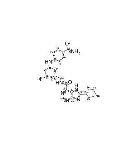 NC(=O)c1ccc(Nc2cc(F)cc(CNC(=O)c3ncnc4nc(C5CCCC5)[nH]c34)c2)cc1